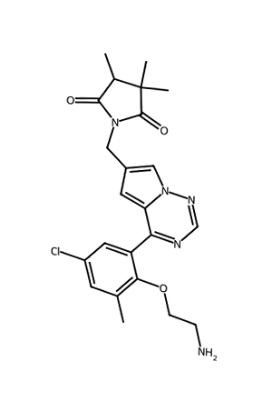 Cc1cc(Cl)cc(-c2ncnn3cc(CN4C(=O)C(C)C(C)(C)C4=O)cc23)c1OCCN